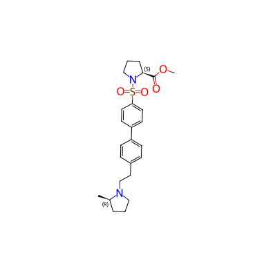 COC(=O)[C@@H]1CCCN1S(=O)(=O)c1ccc(-c2ccc(CCN3CCC[C@H]3C)cc2)cc1